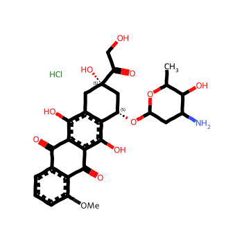 COc1cccc2c1C(=O)c1c(O)c3c(c(O)c1C2=O)C[C@@](O)(C(=O)CO)C[C@@H]3OC1CC(N)C(O)C(C)O1.Cl